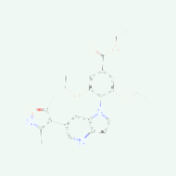 CCOC(=O)c1cc(OCC)c(-n2ccc3ncc(-c4c(C)noc4C)cc32)c(OCC)c1